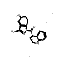 Nc1nn(C(=O)[C@@H]2CCNc3ccccc32)c2c1CC(O)CC2